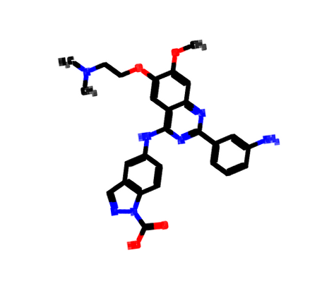 COc1cc2nc(-c3cccc(N)c3)nc(Nc3ccc4c(cnn4C(=O)O)c3)c2cc1OCCN(C)C